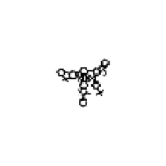 Cc1c(-c2ccccc2)sc2cc3c(cc12)B1c2c(ccc4c5cc6c(cc5n-3c24)C(C)(C)c2ccccc2-6)-c2cc3c(cc2N1c1ccc(C(C)(C)C)cc1)sc1ccccc13